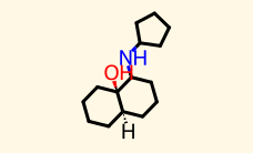 O[C@]12CCCC[C@@H]1CCCC2NC1CCCC1